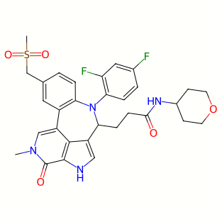 Cn1cc2c3c(c[nH]c3c1=O)C(CCC(=O)NC1CCOCC1)N(c1ccc(F)cc1F)c1ccc(CS(C)(=O)=O)cc1-2